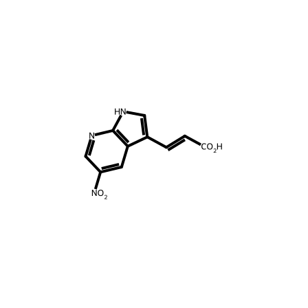 O=C(O)C=Cc1c[nH]c2ncc([N+](=O)[O-])cc12